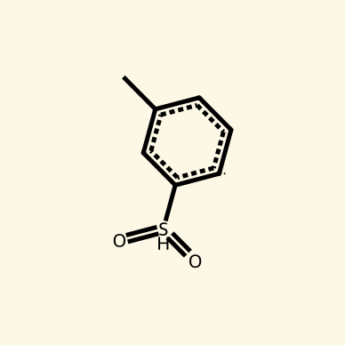 Cc1cc[c]c([SH](=O)=O)c1